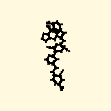 COC(=O)N1CCC[C@@H]1Cn1c(Cc2cc(F)c(-c3cccc(OCc4ccc(C#N)cc4F)n3)cc2F)nc2ccc(C(C)=O)cc21